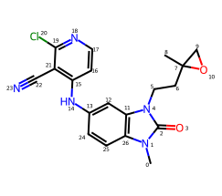 Cn1c(=O)n(CCC2(C)CO2)c2cc(Nc3ccnc(Cl)c3C#N)ccc21